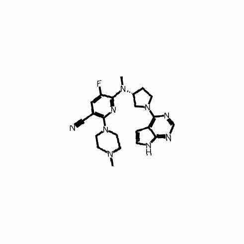 CN1CCN(c2nc(N(C)[C@@H]3CCN(c4ncnc5[nH]ccc45)C3)c(F)cc2C#N)CC1